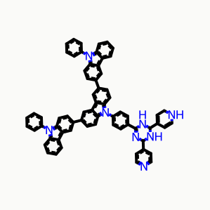 C1=CC(C2NC(c3ccc(-n4c5ccc(-c6ccc7c(c6)c6ccccc6n7-c6ccccc6)cc5c5cc(-c6ccc7c(c6)c6ccccc6n7-c6ccccc6)ccc54)cc3)=NC(c3ccncc3)N2)=CCN1